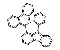 c1ccc(-n2c3ccccc3c3cccc(-c4nc5ccccc5c5ccccc45)c32)cc1